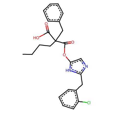 CCCCC(Cc1ccccc1)(C(=O)O)C(=O)Oc1cnc(Cc2ccccc2Cl)[nH]1